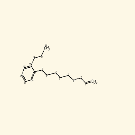 C=CCCCCCCCc1ccccc1CCC